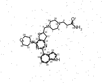 NC(=O)CCN1CCN(CC2Cc3nc(-c4cccc5[nH]ccc45)nc(N4CCOCC4)c3S2)CC1